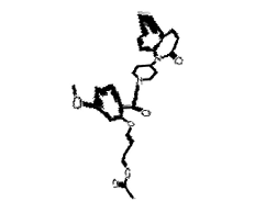 COc1ccc(C(=O)N2CCC(N3C(=O)CCc4ccccc43)CC2)c(OCCCOC(C)=O)c1